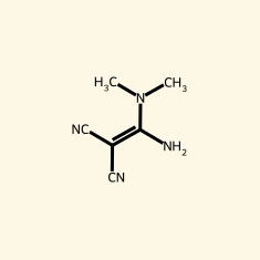 CN(C)C(N)=C(C#N)C#N